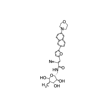 C[C@H]1C(O)O[C@H](CNC(=O)/C(C#N)=C/c2ccc(-c3ccc4cc(N5CCOCC5)ccc4c3)o2)[C@@H](O)[C@@H]1O